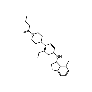 C=C(CCC)N1CCC(C2=C(CC)CC(NC3CCc4cccc(C)c43)C=C2)CC1